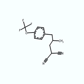 CC(Cc1ccc(OC(F)(F)F)cc1)CC(C#N)C#N